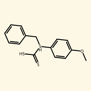 COc1ccc([SH](Cc2ccccc2)C(=S)S)cc1